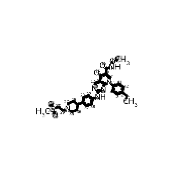 CCc1ccc(-n2cc(C(=O)NOC)c(=O)c3cnc(Nc4ccc(C5CCN(CCS(C)(=O)=O)CC5)cc4)nc32)cc1